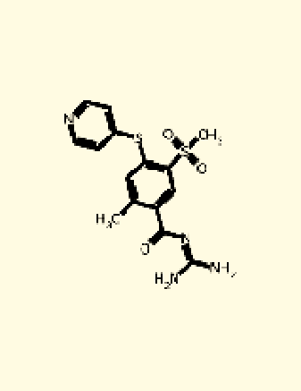 Cc1cc(Sc2ccncc2)c(S(C)(=O)=O)cc1C(=O)N=C(N)N